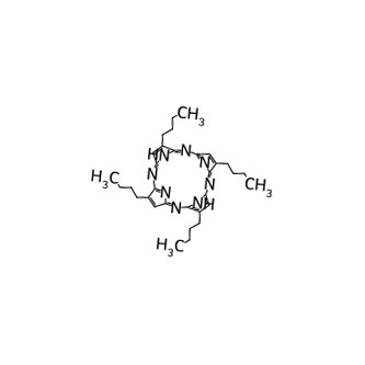 CCCCC1=Cc2nc1nc1cc(CCCC)c(nc3nc(nc4cc(CCCC)c(n2)[nH]4)C(CCCC)=C3)[nH]1